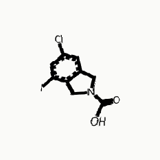 O=C(O)N1Cc2cc(Cl)cc(I)c2C1